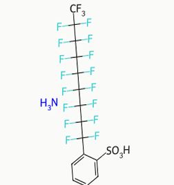 N.O=S(=O)(O)c1ccccc1C(F)(F)C(F)(F)C(F)(F)C(F)(F)C(F)(F)C(F)(F)C(F)(F)C(F)(F)C(F)(F)F